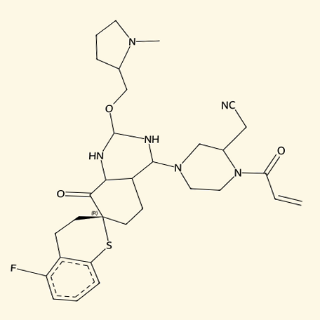 C=CC(=O)N1CCN(C2NC(OCC3CCCN3C)NC3C(=O)[C@]4(CCc5c(F)cccc5S4)CCC32)CC1CC#N